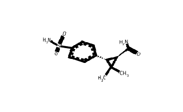 CC1(C)[C@H](C(N)=O)[C@H]1c1ccc(S(N)(=O)=O)cc1